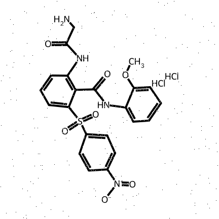 COc1ccccc1NC(=O)c1c(NC(=O)CN)cccc1S(=O)(=O)c1ccc([N+](=O)[O-])cc1.Cl.Cl